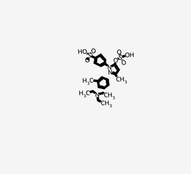 CCN(CC)CC.Cc1cc(OS(=O)(=O)O)n(-c2ccc(S(=O)(=O)O)cc2)n1.Cc1ccccc1